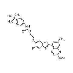 COc1cnc2c(-c3nc4cc(F)c(OCCOC(=O)Nc5ccc(C(C)(C)O)nc5)cc4s3)cc(C)cc2n1